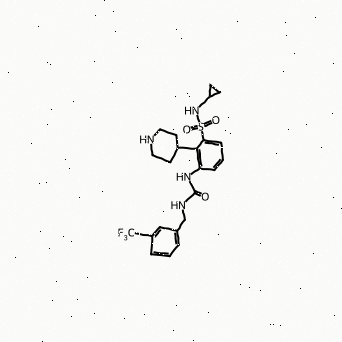 O=C(NCc1cccc(C(F)(F)F)c1)Nc1cccc(S(=O)(=O)NC2CC2)c1C1CCNCC1